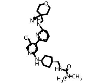 CN(C)C(=O)NC[C@H]1CC[C@H](Nc2cc(-c3cccc(NCC4(C#N)CCOCC4)n3)c(Cl)cn2)CC1